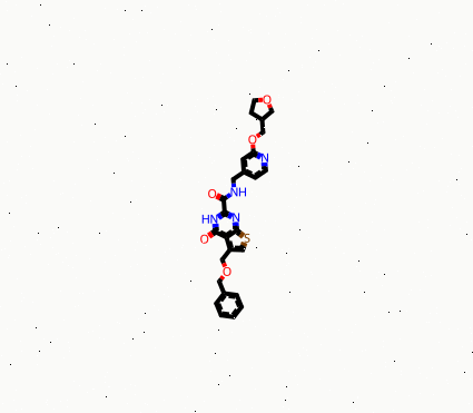 O=C(NCc1ccnc(OCC2CCOC2)c1)c1nc2scc(COCc3ccccc3)c2c(=O)[nH]1